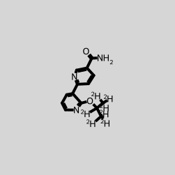 [2H]C([2H])([2H])C([2H])(Oc1ncccc1-c1ccc(C(N)=O)cn1)C([2H])([2H])[2H]